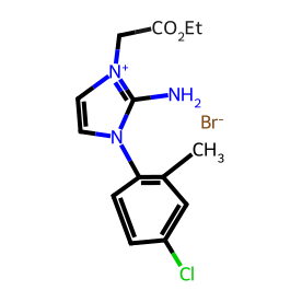 CCOC(=O)C[n+]1ccn(-c2ccc(Cl)cc2C)c1N.[Br-]